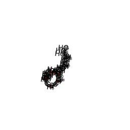 C=C1C[C@@H]2CC[C@]34C[C@@H]5[C@@H]6O[C@H]7CC[C@H](CC(=O)O[C@@H]8[C@@H](C)[C@@H]9O[C@@H]%10C[C@]%11(C[C@@H]%12C[C@@]%13(C[C@H](C)[C@@H]%12O%11)C[C@H](C)[C@@H]%11O[C@H]([C@H](O)C[C@H](O)CO)C[C@@H]%11O%13)O[C@@H]%10C[C@@H]9O[C@H]8CC8O[C@@H](CCC1O2)C[C@@H](C)C8=C)O[C@@H]7[C@H](O3)[C@@H]6O[C@H]5C4